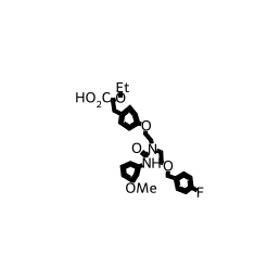 CCOC(Cc1ccc(OCCN(CCOCc2ccc(F)cc2)C(=O)Nc2cccc(OC)c2)cc1)C(=O)O